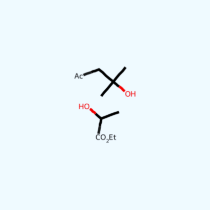 CC(=O)CC(C)(C)O.CCOC(=O)C(C)O